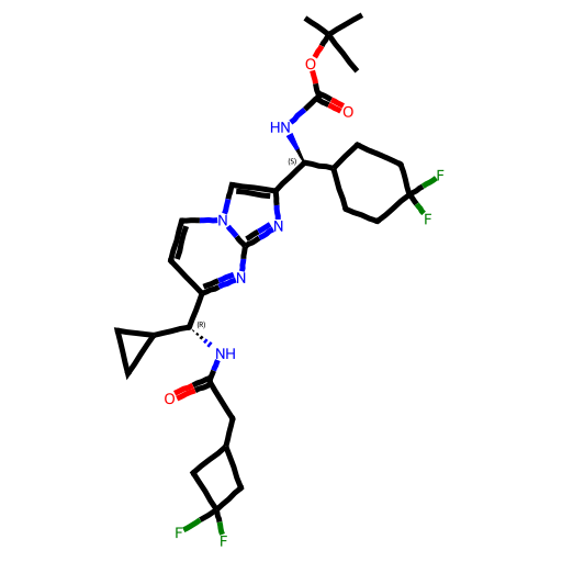 CC(C)(C)OC(=O)N[C@H](c1cn2ccc([C@H](NC(=O)CC3CC(F)(F)C3)C3CC3)nc2n1)C1CCC(F)(F)CC1